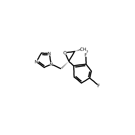 C[C@H]1O[C@]1(Cn1cncn1)c1ccc(F)cc1F